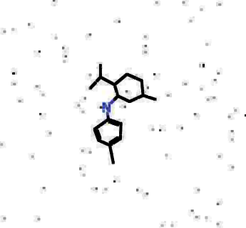 Cc1ccc([N]C2CC(C)CCC2C(C)C)cc1